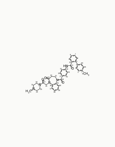 Cc1ccc(-c2ccccc2C(=O)Nc2ccc(C(=O)N3CCC(=O)N(CC(=O)N4CCN(C)CC4)c4ccccc43)cc2)cc1